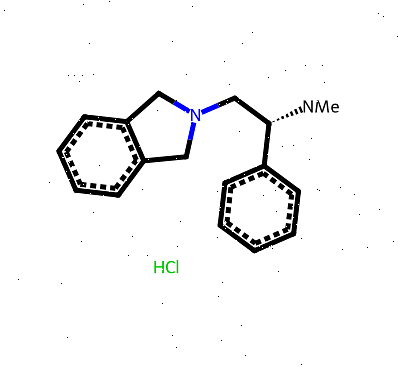 CN[C@@H](CN1Cc2ccccc2C1)c1ccccc1.Cl